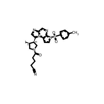 Cc1ccc(S(=O)(=O)n2ccc3c2ncc2ncc([C@H]4CN(C(=O)CCCC#N)C[C@H]4I)n23)cc1